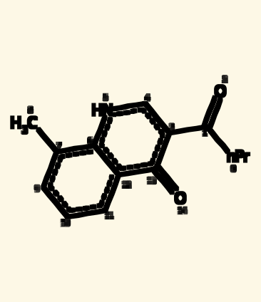 CCCC(=O)c1c[nH]c2c(C)cccc2c1=O